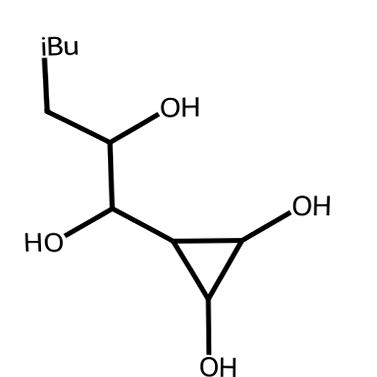 CCC(C)CC(O)C(O)C1C(O)C1O